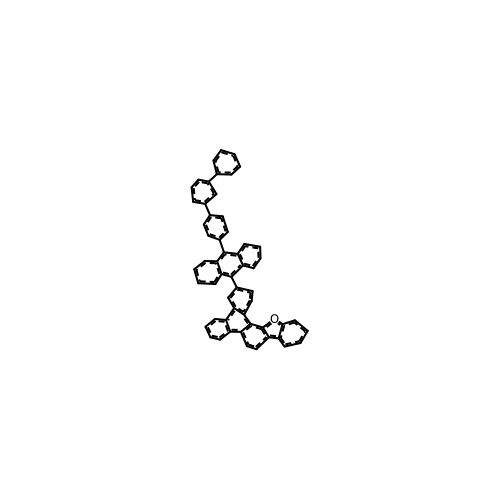 c1ccc(-c2cccc(-c3ccc(-c4c5ccccc5c(-c5ccc6c(c5)c5ccccc5c5ccc7c8ccccc8oc7c56)c5ccccc45)cc3)c2)cc1